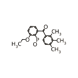 CCOc1cccc(C(=O)c2ccc(C)c(C)c2C)c1P=O